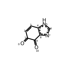 O=C1C=Cc2[nH][c]nc2C1=O